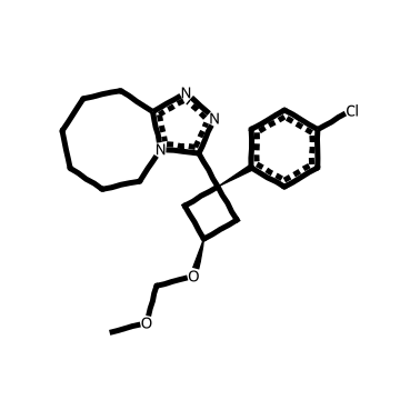 COCO[C@H]1C[C@](c2ccc(Cl)cc2)(c2nnc3n2CCCCCC3)C1